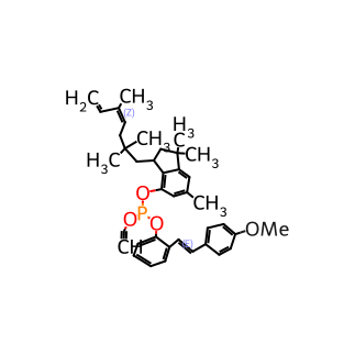 C#COP(Oc1ccccc1/C=C/c1ccc(OC)cc1)Oc1cc(C)cc2c1C(CC(C)(C)C/C=C(/C)C=C)CC2(C)C